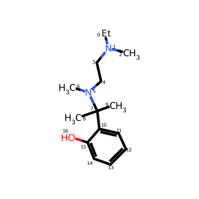 CCN(C)CCN(C)C(C)(C)c1ccccc1O